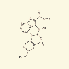 COC(=O)c1sc2nccc3c2c1N(N)C(=O)N3c1cnc(CC(C)C)cc1C